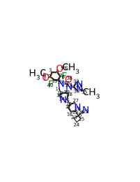 COc1cc(OC)c(F)c(N2Cc3cnc(-c4ccc(C5(C#N)CCC5)nc4)cc3N(c3cnn(C)c3)C2=O)c1F